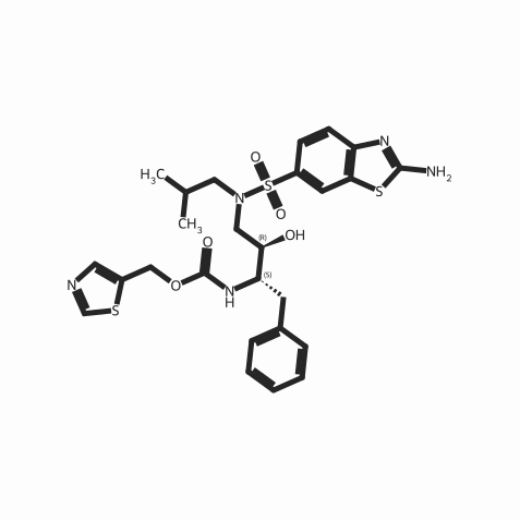 CC(C)CN(C[C@@H](O)[C@H](Cc1ccccc1)NC(=O)OCc1cncs1)S(=O)(=O)c1ccc2nc(N)sc2c1